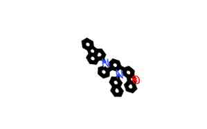 c1ccc2c(c1)-c1cccc3c(-n4c5ccccc5c5c4ccc4c6ccc7oc8ccccc8c7c6n(-c6ccc7ccccc7c6)c45)ccc-2c13